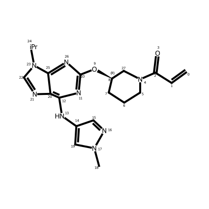 C=CC(=O)N1CCC[C@@H](Oc2nc(Nc3cnn(C)c3)c3ncn(C(C)C)c3n2)C1